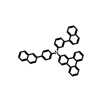 c1cc(-c2cccc3ccccc23)cc(N(c2ccc(-c3ccc4ccccc4c3)cc2)c2ccc3c4ccccc4c4ccccc4c3c2)c1